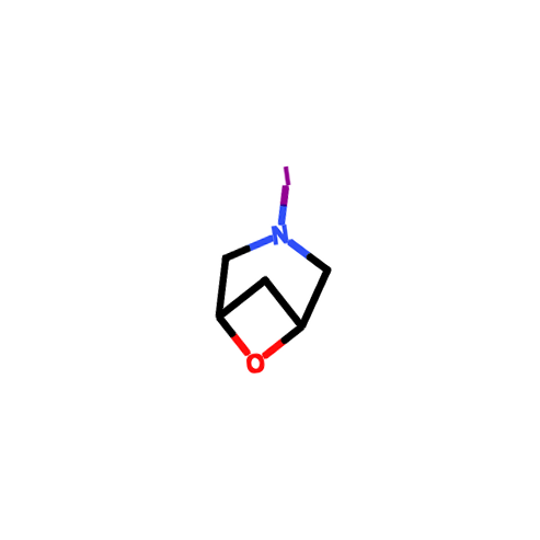 IN1CC2CC(C1)O2